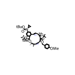 COc1ccc(COC2/C=C\[C@@H](C)[C@H](C)OC(=O)c3c(cc(N(C(=O)OC(C)(C)C)C4CC4)cc3O[Si](C)(C)C(C)(C)C)/C=C/C[C@@H]3OC(C)(C)O[C@H]23)cc1